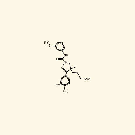 CSCCCC1(C)CN(C(=O)Nc2cccc(OC(F)(F)F)c2)N=C1c1ccc(C(F)(F)F)c(Cl)c1